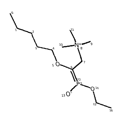 CCCCCO/C(C[N+](C)(C)C)=[P+](\[O-])OCC